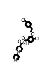 O=C(NC(=O)C1CCN(c2ccncc2)CC1)c1ccc(Cl)c(OCCc2ccc(Cl)cc2)c1